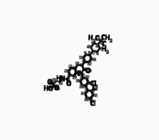 CC(C)(C)C1CC=C(c2ccc(C(Cc3ccc(C(=O)NCCS(=O)(=O)O)cc3)C(=O)Nc3ccc(-c4ccc(Cl)cc4Cl)c(Cl)c3)cc2)CC1